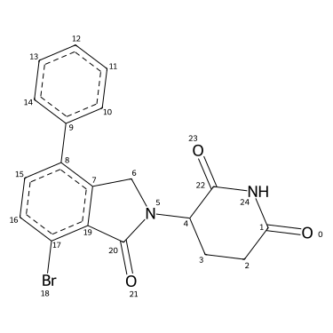 O=C1CCC(N2Cc3c(-c4ccccc4)ccc(Br)c3C2=O)C(=O)N1